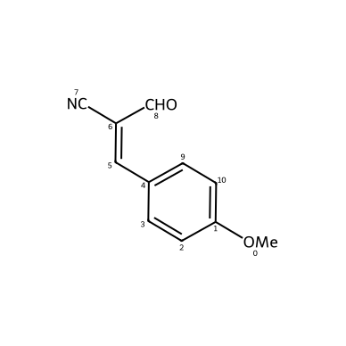 COc1ccc(C=C(C#N)C=O)cc1